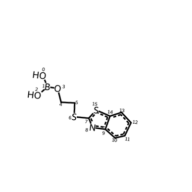 OB(O)OCCSc1nc2ccccc2s1